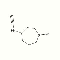 C#CNC1CCCN(C(C)C)CC1